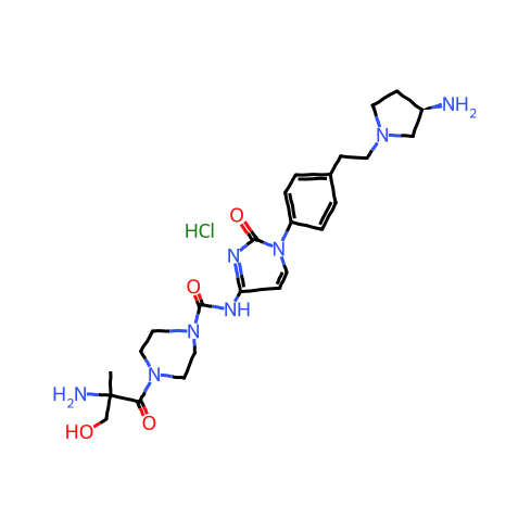 CC(N)(CO)C(=O)N1CCN(C(=O)Nc2ccn(-c3ccc(CCN4CC[C@@H](N)C4)cc3)c(=O)n2)CC1.Cl